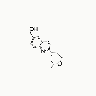 CC1CC(c2ccc3cc(CO)ccc3n2)CC(C)O1